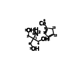 NC(CO)(CO)CO.[Ce][C]1=CC=CC1